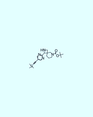 CC(C)(C)OC(=O)N1CCCC2(CNC2c2ncc(C#C[Si](C)(C)C)cn2)C1